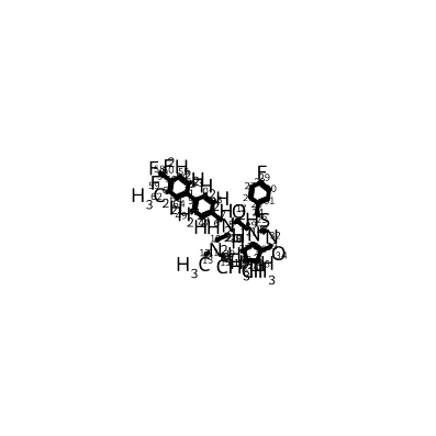 [2H]c1c([2H])c(C([2H])([2H])N(CCN(CC)CC)C(=O)C([2H])([2H])n2c(SCc3ccc(F)cc3)nc(=O)c3c2C([2H])([2H])C([2H])(C)C3([2H])[2H])c([2H])c([2H])c1-c1c([2H])c([2H])c(C(F)(F)F)c(C)c1[2H]